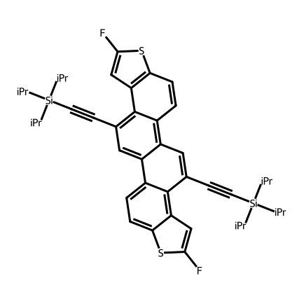 CC(C)[Si](C#Cc1cc2c(cc(C#C[Si](C(C)C)(C(C)C)C(C)C)c3c4cc(F)sc4ccc23)c2ccc3sc(F)cc3c12)(C(C)C)C(C)C